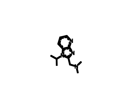 CC(C)n1c(CN(C)C)nc2ncccc21